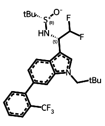 CC(C)(C)Cn1cc([C@H](N[S@@+]([O-])C(C)(C)C)C(F)F)c2ccc(-c3ccccc3C(F)(F)F)cc21